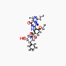 CCCc1nc(C)c2c(=O)[nH]c(-c3cc(S(=O)(=O)N(CCO)CCc4ccccc4)ccc3OCC)nn12